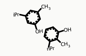 CCCc1cccc(O)c1C.Cc1cc(O)cc(C(C)C)c1